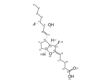 CCCC[C@@H](F)[C@H](O)/C=C/[C@H]1CC[C@@H]2O/C(=C\CCCC(=O)O)C(F)[C@@H]21